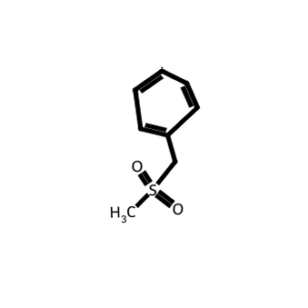 CS(=O)(=O)Cc1cc[c]cc1